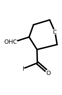 O=CC1CCCCC1C(=O)I